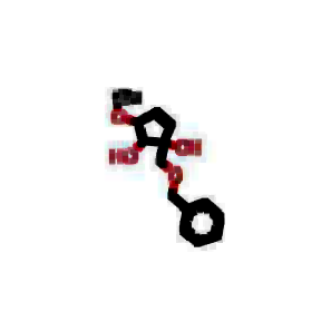 CC(C)(C)OC1C=CC(O)(COCc2ccccc2)C1O